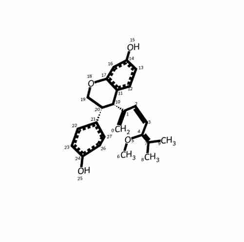 C=C(/C=C\C(OC)=C(C)C)[C@H]1c2ccc(O)cc2OC[C@H]1c1ccc(O)cc1